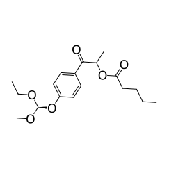 CCCCC(=O)OC(C)C(=O)c1ccc(O[C@@H](OC)OCC)cc1